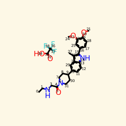 CCNCC(=O)N1CCC(c2ccc3[nH]c(-c4ccc(OC)c(OC)c4)c(C)c3c2)CC1.O=C(O)C(F)(F)F